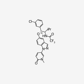 CC(C)C(NC(=O)C(F)(F)F)[C@H](Oc1ccc2c(cnn2-c2ccc(=O)n(C)c2)c1)c1cccc(Cl)c1